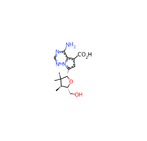 C[C@@H]1[C@@H](CO)O[C@@H](c2cc(C(=O)O)c3c(N)ncnn23)C1(C)C